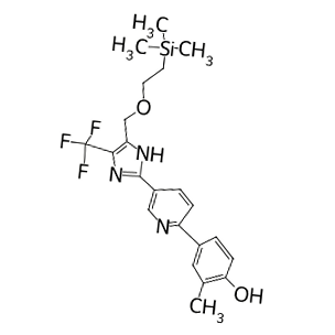 Cc1cc(-c2ccc(-c3nc(C(F)(F)F)c(COCC[Si](C)(C)C)[nH]3)cn2)ccc1O